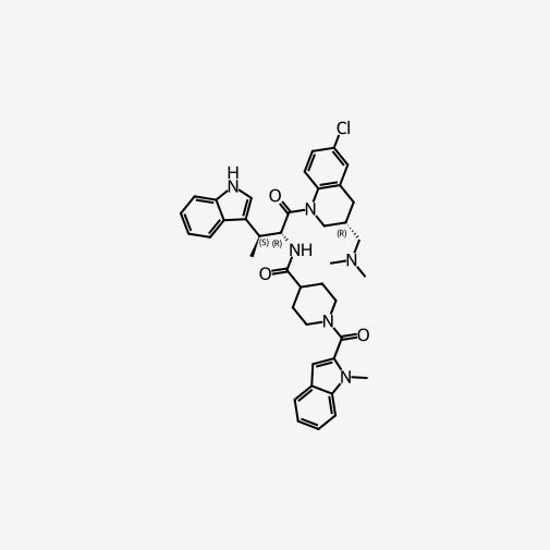 C[C@@H](c1c[nH]c2ccccc12)[C@@H](NC(=O)C1CCN(C(=O)c2cc3ccccc3n2C)CC1)C(=O)N1C[C@@H](CN(C)C)Cc2cc(Cl)ccc21